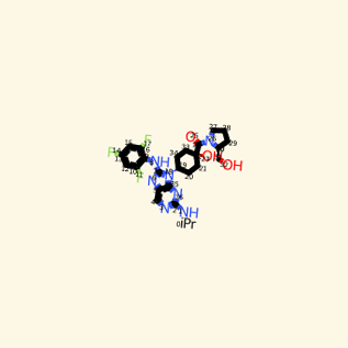 CC(C)Nc1ncc2nc(Nc3c(F)cc(F)cc3F)n([C@H]3CC[C@@](O)(C(=O)N4CCC[C@H]4CO)CC3)c2n1